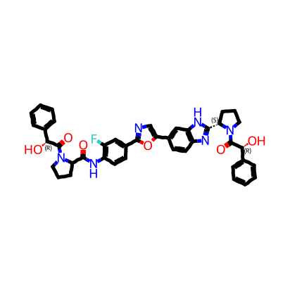 O=C(Nc1ccc(-c2ncc(-c3ccc4nc([C@@H]5CCCN5C(=O)[C@H](O)c5ccccc5)[nH]c4c3)o2)cc1F)C1CCCN1C(=O)[C@H](O)c1ccccc1